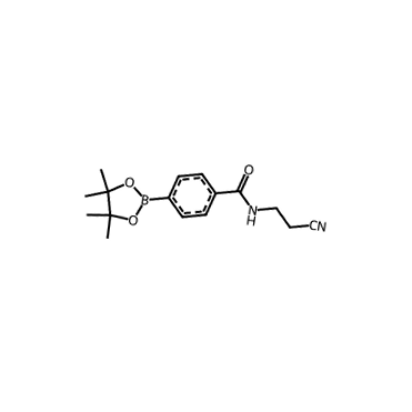 CC1(C)OB(c2ccc(C(=O)NCCC#N)cc2)OC1(C)C